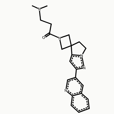 CN(C)CCC(=O)N1CC2(CCn3nc(-c4cnc5ccccc5c4)cc32)C1